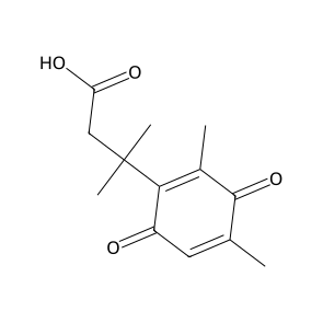 CC1=CC(=O)C(C(C)(C)CC(=O)O)=C(C)C1=O